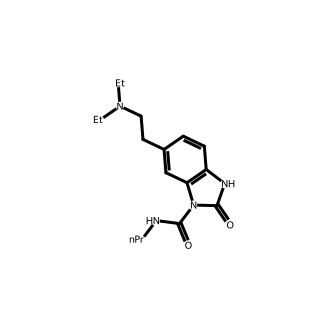 CCCNC(=O)n1c(=O)[nH]c2ccc(CCN(CC)CC)cc21